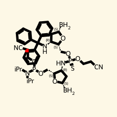 B[C@H]1C[C@@H](NC(c2ccccc2)(c2ccccc2)c2ccccc2)[C@@H](COP(=S)(N[C@@H]2C[C@H](B)O[C@@H]2COP(OCCC#N)N(C(C)C)C(C)C)OCCC#N)O1